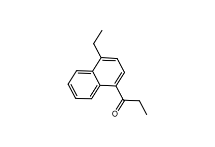 CCC(=O)c1ccc(CC)c2ccccc12